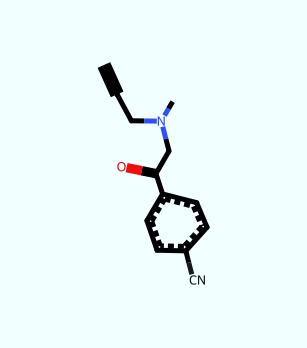 C#CCN(C)CC(=O)c1ccc(C#N)cc1